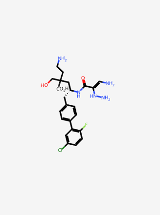 N/C=C(\NN)C(=O)N[C@H](Cc1ccc(-c2cc(Cl)ccc2F)cc1)CC(CO)(CCN)C(=O)O